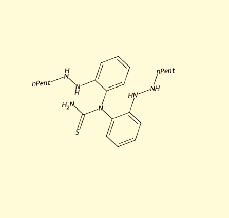 CCCCCNNc1ccccc1N(C(N)=S)c1ccccc1NNCCCCC